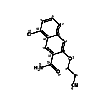 N#CCCOc1cc2nccc(Cl)c2cc1C(N)=O